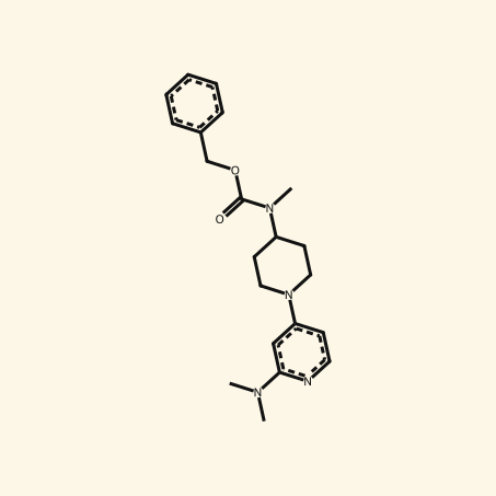 CN(C)c1cc(N2CCC(N(C)C(=O)OCc3ccccc3)CC2)ccn1